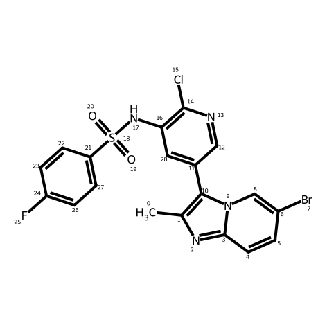 Cc1nc2ccc(Br)cn2c1-c1cnc(Cl)c(NS(=O)(=O)c2ccc(F)cc2)c1